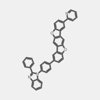 c1ccc(-c2nc3ccccc3n2-c2ccc(-c3ccc4oc5cc6c(cc5c4c3)oc3ccc(-c4ccccn4)cc36)cc2)cc1